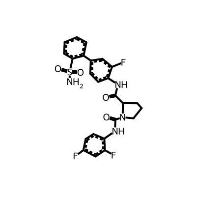 NS(=O)(=O)c1ccccc1-c1ccc(NC(=O)C2CCCN2C(=O)Nc2ccc(F)cc2F)c(F)c1